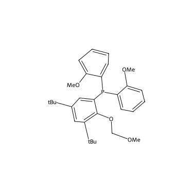 COCOc1c(P(c2ccccc2OC)c2ccccc2OC)cc(C(C)(C)C)cc1C(C)(C)C